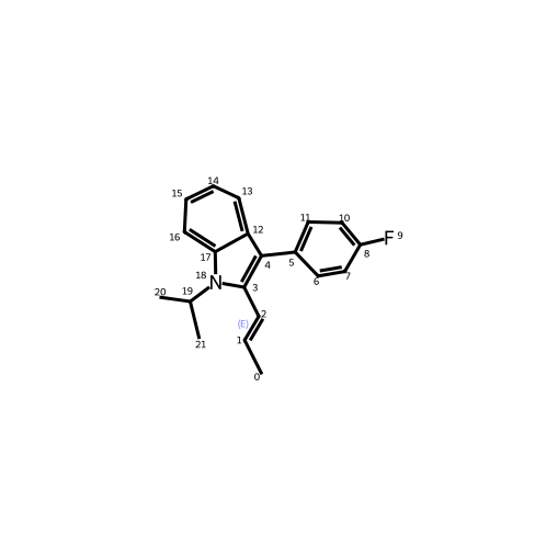 C/C=C/c1c(-c2ccc(F)cc2)c2ccccc2n1C(C)C